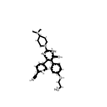 CN(C)C1CCN(c2nc(-c3ccc(C#N)cc3)c(-c3ccc(OCCO)cc3)c(=O)[nH]2)CC1